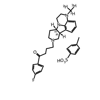 Cc1ccc(S(=O)(=O)O)cc1.[2H]C([2H])([2H])N1CCN2c3c(cccc31)[C@@H]1CN(CCCC(=O)c3ccc(F)cc3)CC[C@@H]12